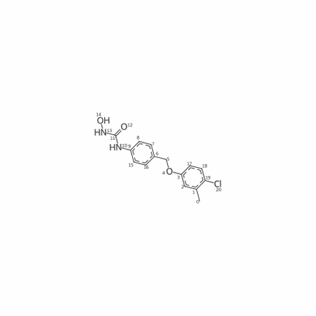 Cc1cc(OCc2ccc(NC(=O)NO)cc2)ccc1Cl